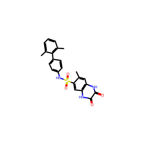 Cc1cc2[nH]c(=O)c(=O)[nH]c2cc1S(=O)(=O)Nc1ccc(-c2c(C)cccc2C)cc1